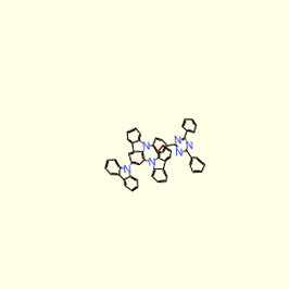 c1ccc(-c2nc(-c3ccccc3)nc(-c3ccc(-n4c5ccccc5c5cc(-n6c7ccccc7c7ccccc76)cc(-n6c7ccccc7c7ccccc76)c54)cc3)n2)cc1